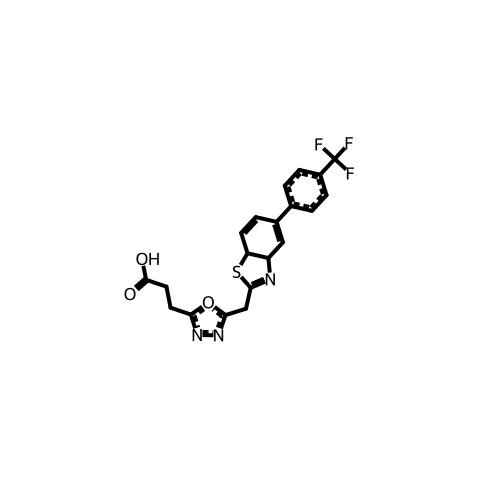 O=C(O)CCc1nnc(CC2=NC3C=C(c4ccc(C(F)(F)F)cc4)C=CC3S2)o1